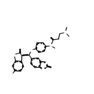 CN(C)CCC(=O)N(C)c1ccc(N/C(=C2\C(=O)Nc3cc(Cl)ccc32)c2ccc3oc(=O)[nH]c3c2)cc1